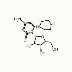 C1CNCCN1.Nc1ccn([C@@H]2O[C@H](CO)[C@@H](O)[C@H]2O)c(=O)n1